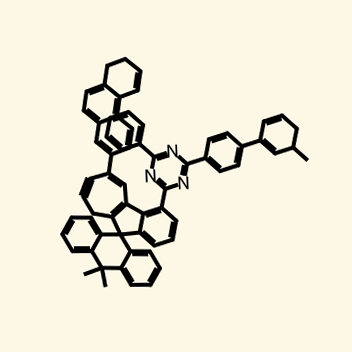 CC1C=C(c2ccc(-c3nc(-c4ccccc4)nc(-c4cccc5c4C4=C(CC#CC(c6ccc7c8c(ccc7c6)CCC=C8)=C4)C54c5ccccc5C(C)(C)c5ccccc54)n3)cc2)C=CC1